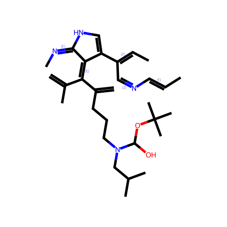 C=C(C)/C(C(=C)CCCN(CC(C)C)C(O)OC(C)(C)C)=C1/C(C(/C=N\C=C\C)=C/C)=CN/C1=N/C